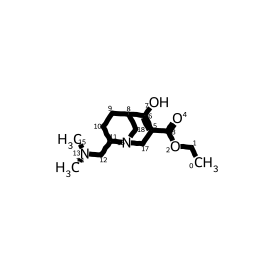 CCOC(=O)C1=C(O)C2CCC(CN(C)C)N(C1)C2